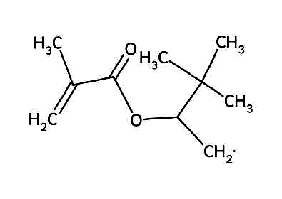 [CH2]C(OC(=O)C(=C)C)C(C)(C)C